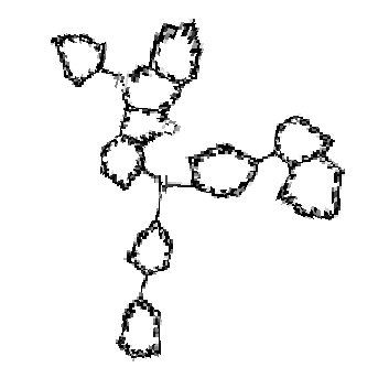 c1ccc(-c2ccc(N(c3ccc(-c4cccc5ccccc45)cc3)c3cccc4c3oc3c5ccccc5n(-c5ccccc5)c43)cc2)cc1